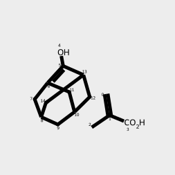 C=C(C)C(=O)O.OC1=C2CC3CC(C2)CC1C3